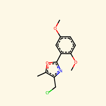 COc1ccc(OC)c(-c2nc(CCl)c(C)o2)c1